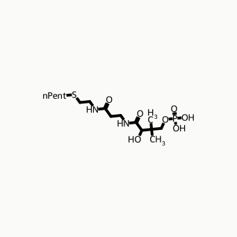 CCCCCSCCNC(=O)CCNC(=O)C(O)C(C)(C)COP(=O)(O)O